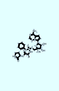 C[C@H](NP(=O)(OC[C@@]1(C#N)O[C@@H](c2ccc3c(N)ncnn23)[C@H](O)[C@@H]1O)Oc1ccccc1)C(=O)O[C@H]1CCNC1=O